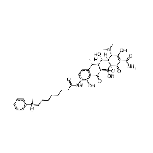 C[C@H]1c2ccc(NC(=O)CCCCCCC[PH](C)(C)c3ccccc3)c(O)c2C(=O)C2=C(O)[C@]3(O)C(=O)C(C(N)=O)=C(O)[C@@H](N(C)C)[C@@H]3[C@@H](O)[C@@H]21